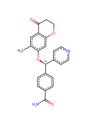 Cc1cc2c(cc1O[C@@H](c1ccncc1)c1ccc(C(N)=O)cc1)OCCC2=O